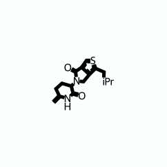 C=C1CCC(N2Cc3c(csc3CC(C)C)C2=O)C(=O)N1